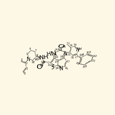 C=CC(=C)N1CCC[C@@H](NC(=O)c2sc3nccc4c3c2NC(=O)N4c2cc(-c3ccccc3)ncc2C)C1